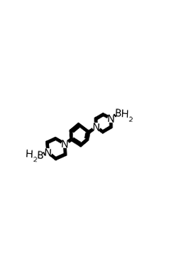 BN1CCN(c2ccc(N3CCN(B)CC3)cc2)CC1